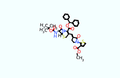 CCOC(=O)c1ccsc1N1CCC(=CC2=C(C(=O)OC(c3ccccc3)c3ccccc3)N3C(=O)[C@@H](NC(=O)OC(C)(C)C)[C@H]3SC2)C1=O